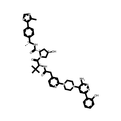 Cc1ncsc1-c1ccc([C@@H](C)NC(=O)[C@@H]2C[C@@H](O)CN2C(=O)[C@@H](NC(=O)Cc2ccnc(N3CCN(c4cc(-c5ccccc5O)nnc4N)CC3)c2)C(C)(C)C)cc1